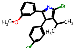 COc1cccc(C2=NC(Br)=C(C(C)C)C2c2ccc(Cl)cc2)c1